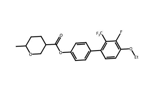 CCOc1ccc(-c2ccc(OC(=O)C3CCC(C)OC3)cc2)c(C(F)(F)F)c1F